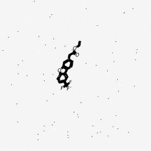 CCOC(=O)Cc1ccc2c(c1)oc1ccc(C(F)(F)F)cc12